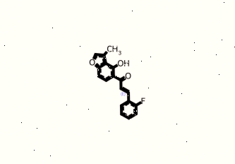 Cc1coc2ccc(C(=O)/C=C/c3ccccc3F)c(O)c12